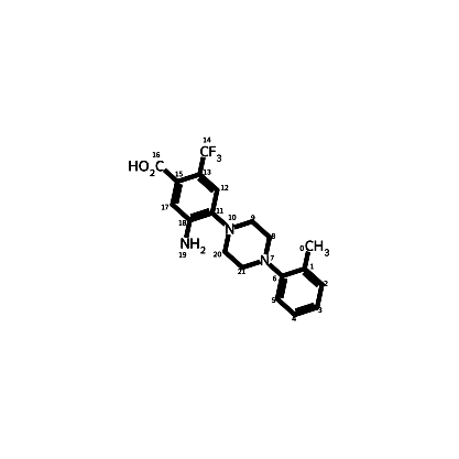 Cc1ccccc1N1CCN(c2cc(C(F)(F)F)c(C(=O)O)cc2N)CC1